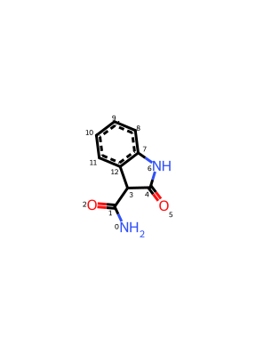 NC(=O)C1C(=O)Nc2c[c]ccc21